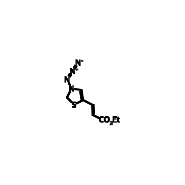 CCOC(=O)C=CC1=CN(N=[N+]=[N-])CS1